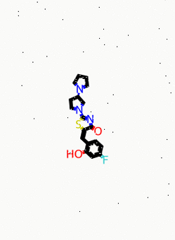 O=C1N=C(N2CC[C@@H](N3CCCC3)C2)SC1=Cc1ccc(F)cc1O